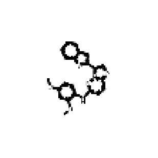 COc1ccc(Nc2ccc3ncc(-c4cc5ccccc5s4)n3n2)c(OC)c1